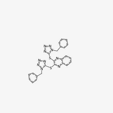 c1ccc(Cn2nnnc2Sc2nc3ccccc3nc2Sc2nnnn2Cc2ccccc2)cc1